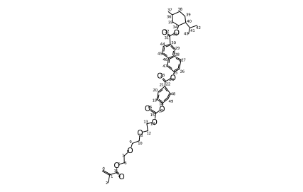 C=C(C)C(=O)OCCOCCOCCOC(=O)Oc1ccc(C(=O)Oc2ccc3cc(C(=O)OC4CC(C)CCC4C(C)C)ccc3c2)cc1